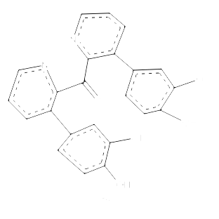 Br.O=C(c1ncccc1-c1ccc(O)c(O)c1)c1ncccc1-c1ccc(O)c(O)c1